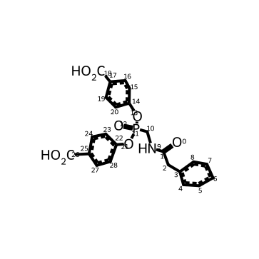 O=C(Cc1ccccc1)NCP(=O)(Oc1ccc(C(=O)O)cc1)Oc1ccc(C(=O)O)cc1